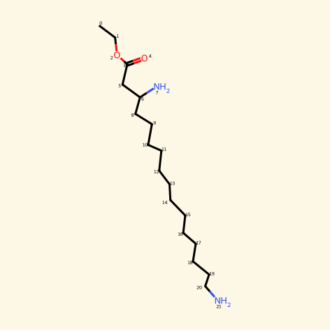 CCOC(=O)CC(N)CCCCCCCCCCCCCN